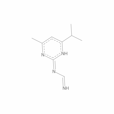 Cc1cc(C(C)C)[nH]/c(=N\C=N)n1